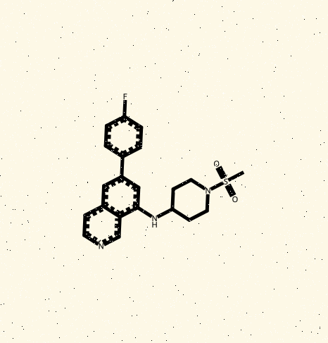 CS(=O)(=O)N1CCC(Nc2cc(-c3ccc(F)cc3)cc3ccncc23)CC1